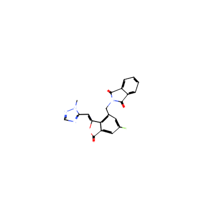 Cn1ncnc1/C=C1\OC(=O)c2cc(F)cc(CN3C(=O)c4ccccc4C3=O)c21